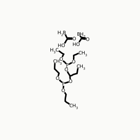 BC(=O)O.BC(=O)O.CCCOP(OCCC)OC(CC)OP(OCC)OCC